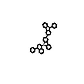 c1ccc(-c2ccc(-n3c4ccccc4c4cc(-c5ccc6c(c5)-c5ccccc5C6c5ccccc5)ccc43)c3ccccc23)cc1